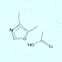 CC(=O)O.Cc1ncoc1C